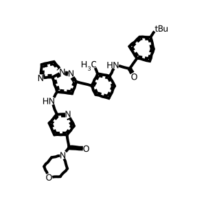 Cc1c(NC(=O)c2ccc(C(C)(C)C)cc2)cccc1-c1cc(Nc2ccc(C(=O)N3CCOCC3)cn2)c2nccn2n1